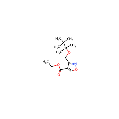 CCOC(=O)c1conc1CO[Si](C)(C)C(C)(C)C